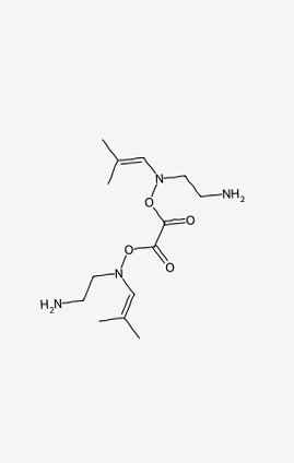 CC(C)=CN(CCN)OC(=O)C(=O)ON(C=C(C)C)CCN